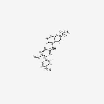 CS(=O)(=O)N1CCc2c(cccc2Nc2ccc(CO)c(-c3ccc(C#N)cc3)c2)C1